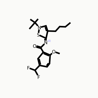 CCCCc1cn(C(C)(C)C)s/c1=N\C(=O)c1cc(C(F)F)ccc1OC